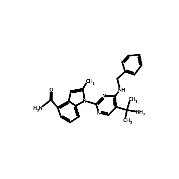 Cc1cc2c(C(N)=O)cccc2n1-c1ncc(C(C)(C)N)c(NCc2ccccc2)n1